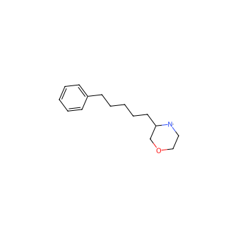 c1ccc(CCCCCC2COCC[N]2)cc1